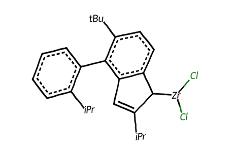 CC(C)C1=Cc2c(ccc(C(C)(C)C)c2-c2ccccc2C(C)C)[CH]1[Zr]([Cl])[Cl]